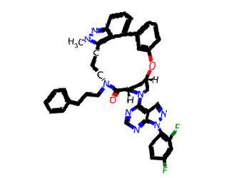 Cn1nc2cccc3c2c1CCCN(CCCc1ccccc1)C(=O)[C@@H]1C[C@@H](CN1c1ncnc2c1cnn2-c1ccc(F)cc1F)Oc1cccc-3c1